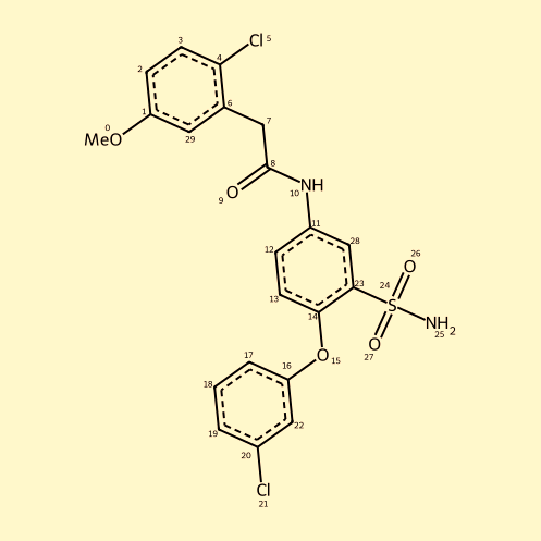 COc1ccc(Cl)c(CC(=O)Nc2ccc(Oc3cccc(Cl)c3)c(S(N)(=O)=O)c2)c1